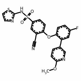 COc1ccc(-c2cc(F)ccc2Oc2ccc(S(=O)(=O)Nc3nccs3)cc2C#N)cn1